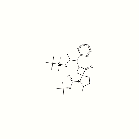 CC(O[Si](C)(C)C(C)(C)C)C(c1ncccn1)N1CC2(CCC(C)N2C(=O)OC(C)(C)C)C1=O